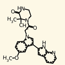 COc1ccc2c(c1)c(-c1cc3cccnc3[nH]1)cn2CC(=O)N1CCNC(=O)C1(C)C